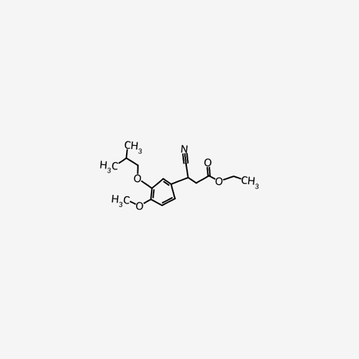 CCOC(=O)CC(C#N)c1ccc(OC)c(OCC(C)C)c1